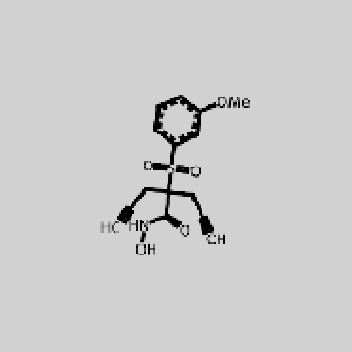 C#CCC(CC#C)(C(=O)NO)S(=O)(=O)c1cccc(OC)c1